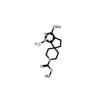 COc1nn(C)c2c1CCC21CCN(C(=O)OC(C)(C)C)CC1